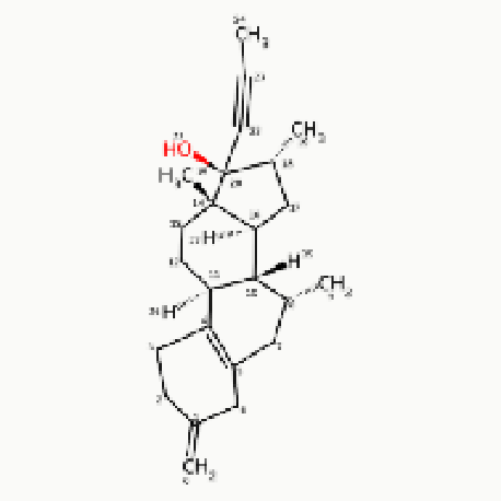 C=C1CCC2=C(C1)C[C@@H](C)[C@@H]1[C@@H]2CC[C@@]2(C)[C@H]1C[C@@H](C)[C@@]2(O)C#CC